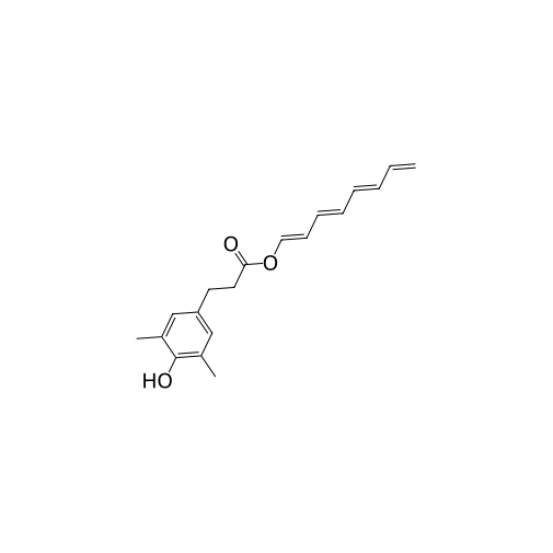 C=C/C=C/C=C/C=C/OC(=O)CCc1cc(C)c(O)c(C)c1